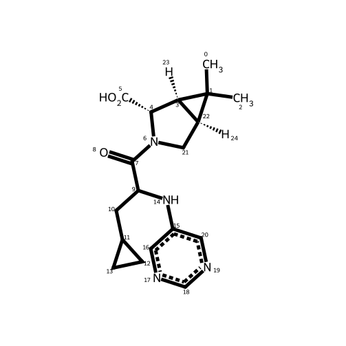 CC1(C)[C@@H]2[C@@H](C(=O)O)N(C(=O)C(CC3CC3)Nc3cncnc3)C[C@@H]21